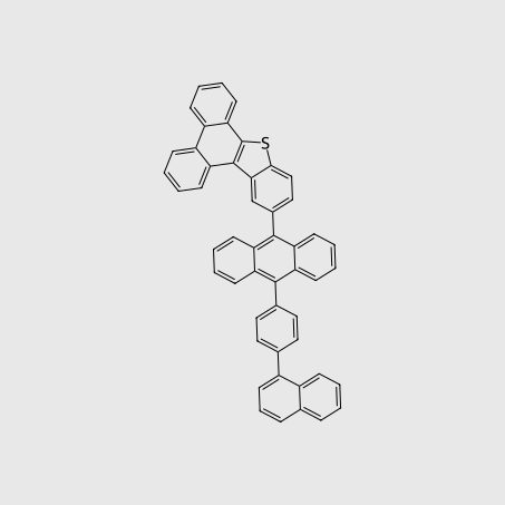 c1ccc2c(-c3ccc(-c4c5ccccc5c(-c5ccc6sc7c8ccccc8c8ccccc8c7c6c5)c5ccccc45)cc3)cccc2c1